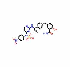 CC(Nc1nccc(N(c2ccc([N+](=O)[O-])cc2)S(=O)(=O)O)n1)c1ccc(Cc2ccc(O)c(C(N)=O)c2)cc1